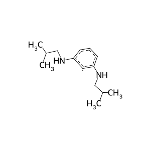 CC(C)CNc1[c]c(NCC(C)C)ccc1